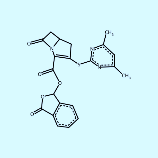 Cc1cc(C)nc(SC2=C(C(=O)OC3OC(=O)c4ccccc43)N3C(=O)CC3C2)n1